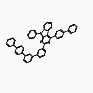 c1ccc(-c2ccc(-c3cccc(-c4cccc(-c5nc(-c6ccc(-c7ccccc7)cc6)c6c7ccccc7n(-c7ccccc7)c6n5)c4)c3)cc2)cc1